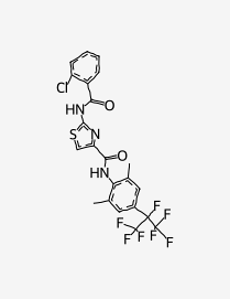 Cc1cc(C(F)(C(F)(F)F)C(F)(F)F)cc(C)c1NC(=O)c1csc(NC(=O)c2ccccc2Cl)n1